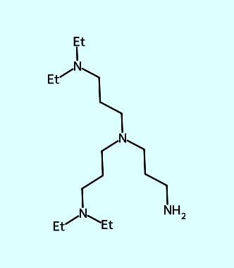 CCN(CC)CCCN(CCCN)CCCN(CC)CC